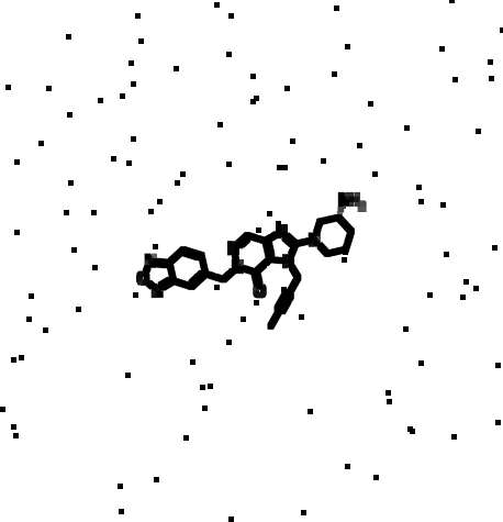 CC#CCn1c(N2CCC[C@@H](N)C2)nc2cnn(Cc3ccc4nonc4c3)c(=O)c21